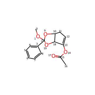 COC1(c2ccccc2)OC2CC=C(OC(C)=O)C2O1